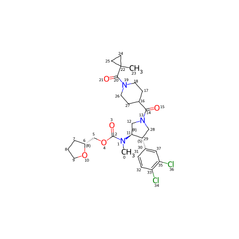 CN(C(=O)OC[C@H]1CCCO1)[C@H]1CN(C(=O)C2CCN(C(=O)C3(C)CC3)CC2)C[C@@H]1c1ccc(Cl)c(Cl)c1